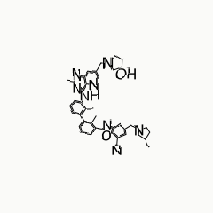 Cc1nc(Nc2cccc(-c3cccc(-c4nc5cc(CN6CC[C@@H](C)C6)cc(C#N)c5o4)c3C)c2C)c2ncc(CN3CC[C@](C)(O)C3)cc2n1